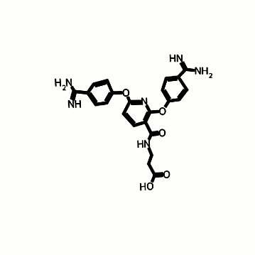 N=C(N)c1ccc(Oc2ccc(C(=O)NCCC(=O)O)c(Oc3ccc(C(=N)N)cc3)n2)cc1